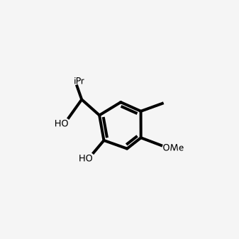 COc1cc(O)c(C(O)C(C)C)cc1C